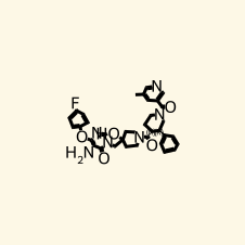 Cc1cncc(C(=O)N2CC[C@@H](C(=O)N3CCC(O)(Cn4cnc(Oc5ccc(F)cc5)c(N)c4=O)CC3)[C@H](c3ccccc3)C2)c1